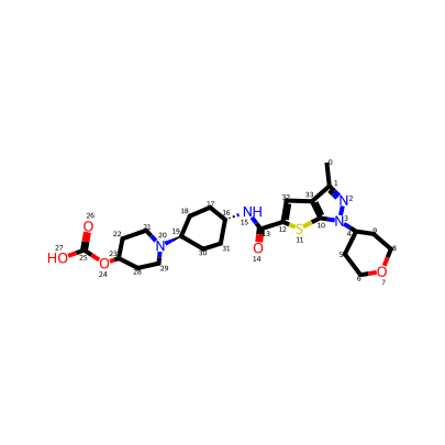 Cc1nn(C2CCOCC2)c2sc(C(=O)N[C@H]3CC[C@H](N4CCC(OC(=O)O)CC4)CC3)cc12